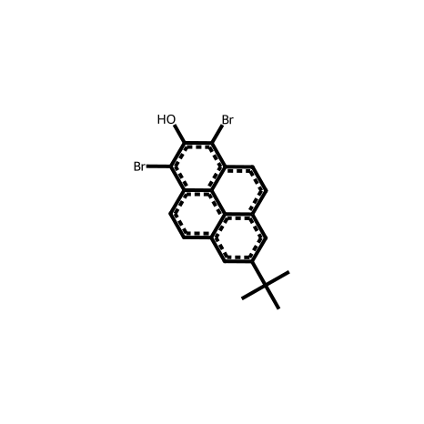 CC(C)(C)c1cc2ccc3c(Br)c(O)c(Br)c4ccc(c1)c2c34